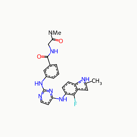 CNC(=O)CNC(=O)c1cccc(Nc2nccc(Nc3ccc4[nH]c(C)cc4c3F)n2)c1